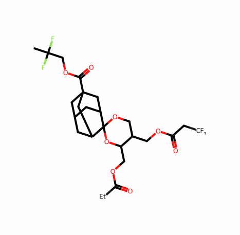 CCC(=O)OCC1OC2(OCC1COC(=O)CC(F)(F)F)C1CC3CC2CC(C(=O)OCC(C)(F)F)(C3)C1